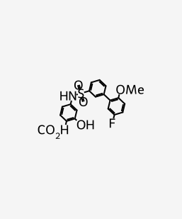 COc1ccc(F)cc1-c1cccc(S(=O)(=O)Nc2ccc(C(=O)O)c(O)c2)c1